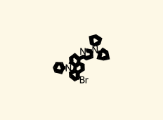 Brc1ccc2c3c1ccc1c(-c4ccc(N(c5ccccc5)c5ccccc5)cn4)ccc(c13)n2-c1ccccc1